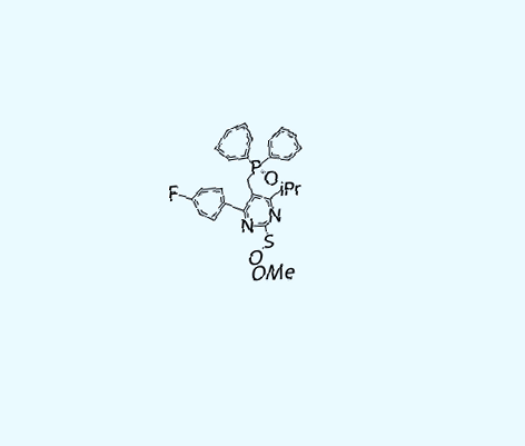 COOSc1nc(-c2ccc(F)cc2)c(CP(=O)(c2ccccc2)c2ccccc2)c(C(C)C)n1